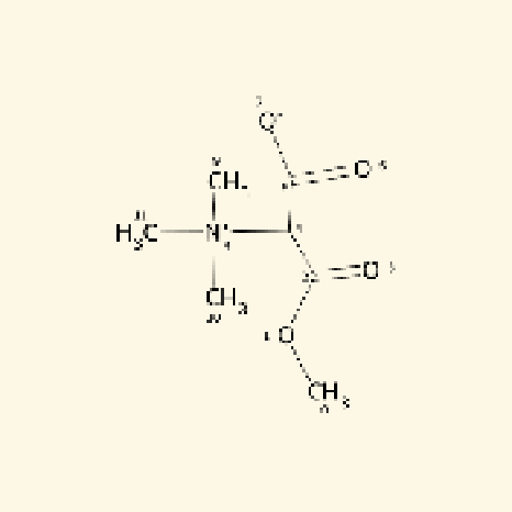 COC(=O)C(C(=O)[O-])[N+](C)(C)C